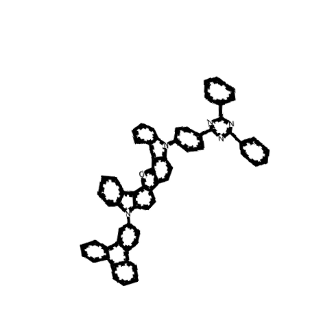 c1ccc(-c2nc(-c3ccccc3)nc(-c3ccc(-n4c5ccccc5c5c6oc7c(ccc8c7c7ccccc7n8-c7ccc8c9ccccc9c9ccccc9c8c7)c6ccc54)cc3)n2)cc1